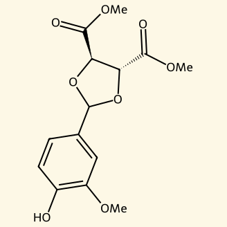 COC(=O)[C@@H]1OC(c2ccc(O)c(OC)c2)O[C@H]1C(=O)OC